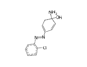 NC1(O)C=CC(N=Nc2ccccc2Cl)=CC1